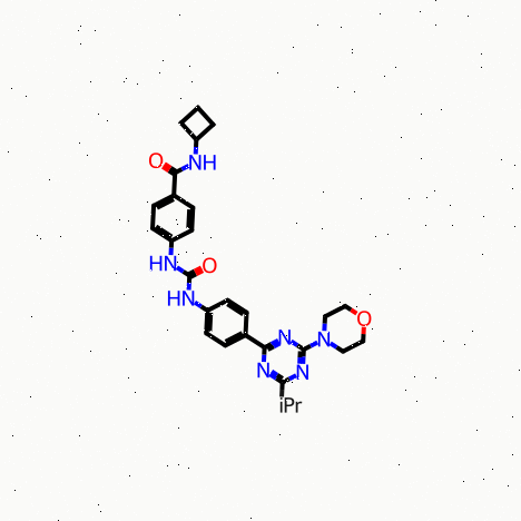 CC(C)c1nc(-c2ccc(NC(=O)Nc3ccc(C(=O)NC4CCC4)cc3)cc2)nc(N2CCOCC2)n1